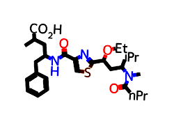 CCCC(=O)N(C)C(CC(OCC)c1nc(C(=O)NC(Cc2ccccc2)CC(C)C(=O)O)cs1)C(C)C